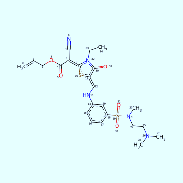 C=CCOC(=O)C(C#N)=c1sc(=CNc2cccc(S(=O)(=O)N(C)CCN(C)C)c2)c(=O)n1CC